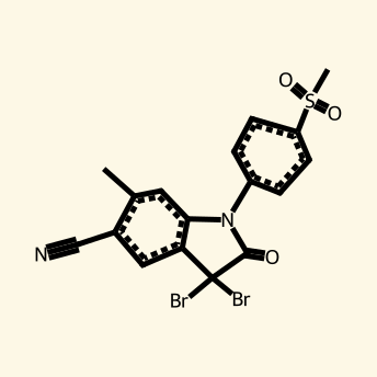 Cc1cc2c(cc1C#N)C(Br)(Br)C(=O)N2c1ccc(S(C)(=O)=O)cc1